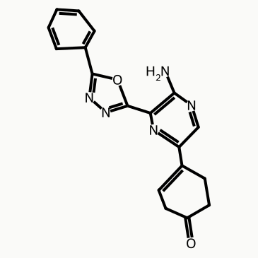 Nc1ncc(C2=CCC(=O)CC2)nc1-c1nnc(-c2ccccc2)o1